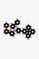 c1ccc(-c2cccc3c2oc2c(N(c4ccc(-c5ccc(C6(c7ccccc7)c7ccccc7-c7ccccc76)cc5)cc4)c4cccc5c4sc4ccccc45)cccc23)cc1